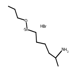 Br.CCC[O][Sn][CH2]CCCC(C)N